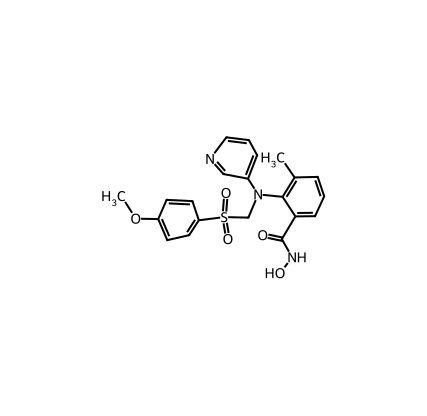 COc1ccc(S(=O)(=O)CN(c2cccnc2)c2c(C)cccc2C(=O)NO)cc1